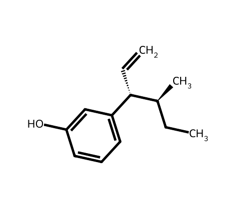 C=C[C@@H](c1cccc(O)c1)[C@@H](C)CC